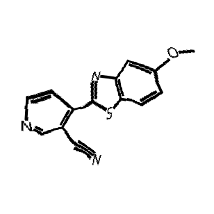 COc1ccc2sc(-c3ccncc3C#N)nc2c1